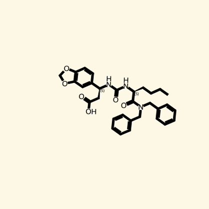 CCCC[C@H](NC(=O)N[C@@H](CC(=O)O)c1ccc2c(c1)OCO2)C(=O)N(Cc1ccccc1)Cc1ccccc1